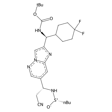 CCCC[S@+]([O-])N[C@H](CC#N)c1cnn2cc([C@@H](NC(=O)OC(C)(C)C)C3CCC(F)(F)CC3)nc2c1